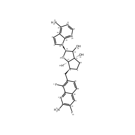 Nc1nc2c(F)c(C[C@@H]3CC[C@]4(O)C(O)[C@H](n5ccc6c(N)ncnc65)O[C@H]34)ccc2cc1F